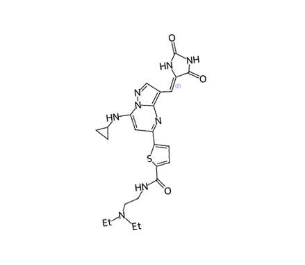 CCN(CC)CCNC(=O)c1ccc(-c2cc(NC3CC3)n3ncc(/C=C4\NC(=O)NC4=O)c3n2)s1